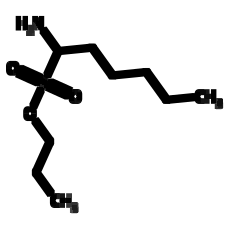 CCCCCC(N)S(=O)(=O)OCCC